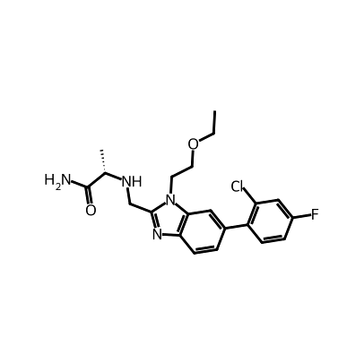 CCOCCn1c(CN[C@@H](C)C(N)=O)nc2ccc(-c3ccc(F)cc3Cl)cc21